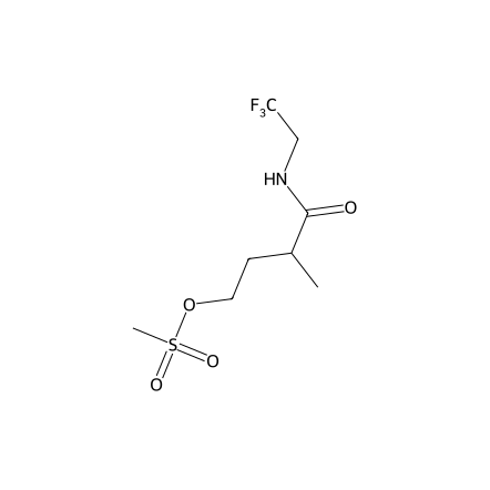 CC(CCOS(C)(=O)=O)C(=O)NCC(F)(F)F